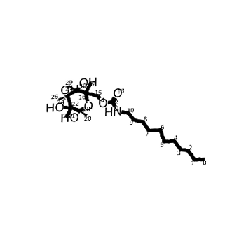 CCCCCCCCCCCNC(=O)OCC1(C)O[C@](C)(O)C(C)(O)[C@](C)(O)[C@]1(C)O